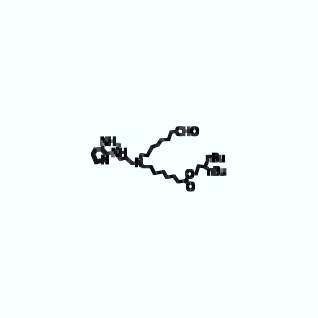 CCCCC(CCCC)CCOC(=O)CCCCCCCN(CCCCCCCC=O)CCCNc1ncccc1N